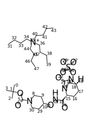 CC(C)(C)OC(=O)N1CCC(ONC(=O)[C@@H]2CC[C@@H]3CN2C(=O)N3OS(=O)(=O)[O-])CC1.CCCC[N+](CCCC)(CCCC)CCCC